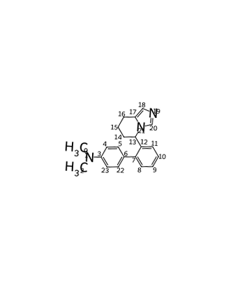 CN(C)c1ccc(-c2ccccc2C2CCCc3cncn32)cc1